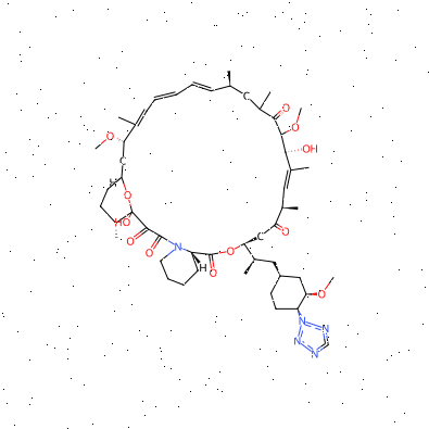 COC1C(=O)C(C)C[C@H](C)/C=C/C=C/C=C(\C)[C@@H](OC)C[C@@H]2CC[C@@H](C)C(O)(O2)C(=O)C(=O)N2CCCC[C@H]2C(=O)O[C@H]([C@H](C)C[C@@H]2CC[C@H](n3ncnn3)[C@H](OC)C2)CC(=O)[C@H](C)/C=C(\C)[C@H]1O